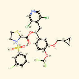 O=C(O[C@@H](Cc1c(Cl)cncc1Cl)c1ccc(OC(F)F)c(OCC2CC2)c1)C1SCCN1S(=O)(=O)c1cccc(F)c1